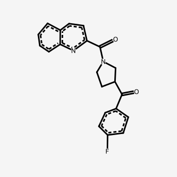 O=C(c1ccc(F)cc1)C1CCN(C(=O)c2ccc3ccccc3n2)C1